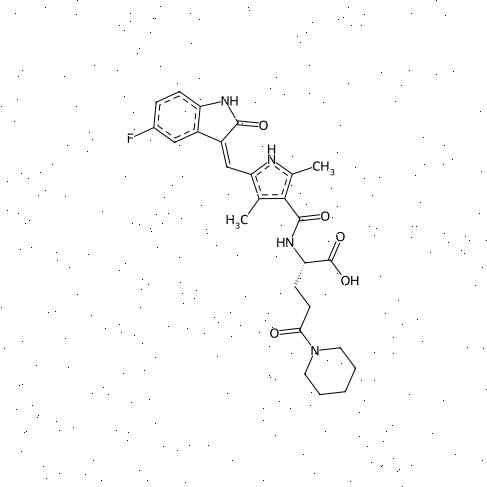 Cc1[nH]c(/C=C2\C(=O)Nc3ccc(F)cc32)c(C)c1C(=O)N[C@@H](CCC(=O)N1CCCCC1)C(=O)O